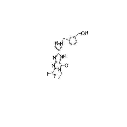 CCn1c(C(F)F)nc2nc(-c3cnn(Cc4cccc(CO)c4)c3)[nH]c2c1=O